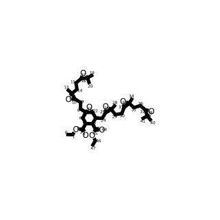 CCOC(=O)C1CC2(CCC3OC3(C)CCC3OC3(C)C)OC2C(CC2OC2(C)CCC2OC2(C)CCC2OC2(C)C)C1C(=O)OCC